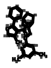 Cc1cc(C)nc(OCC2CC3CCC2N3C(=O)c2c(C)noc2-c2ccccc2)n1